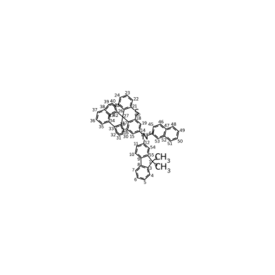 CC1(C)c2ccccc2-c2ccc(N(c3ccc4c(c3)Sc3ccccc3C43c4ccccc4-c4cccc5cccc3c45)c3ccc4ccccc4c3)cc21